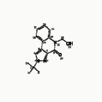 CC(C)(C)n1cc2c(n1)c(=O)n(CO)c1ccccc21